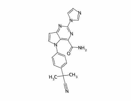 CC(C)(C#N)c1ccc(-n2ccc3nc(-n4ccnc4)nc(C(N)=O)c32)cc1